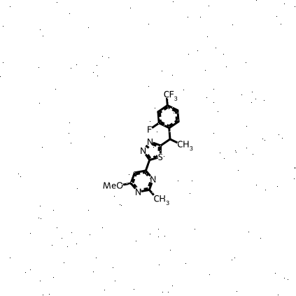 COc1cc(-c2nnc(C(C)c3ccc(C(F)(F)F)cc3F)s2)nc(C)n1